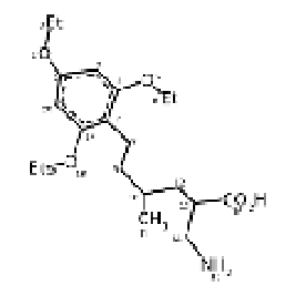 CCOc1cc(OCC)c(CCC(C)CC(CN)C(=O)O)c(OCC)c1